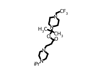 CC(C)N1CCN(CCC(=O)OC(C)(C)N2CCN(CC(F)(F)F)CC2)CC1